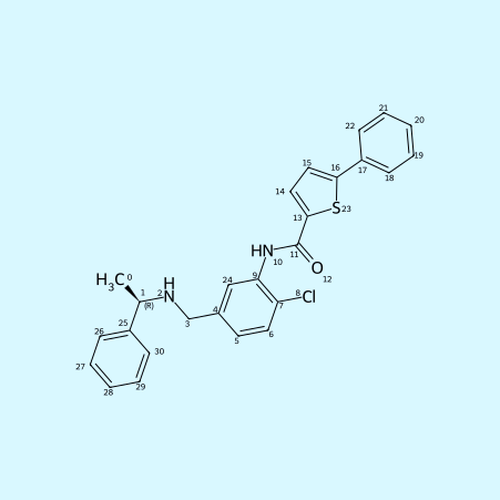 C[C@@H](NCc1ccc(Cl)c(NC(=O)c2ccc(-c3ccccc3)s2)c1)c1ccccc1